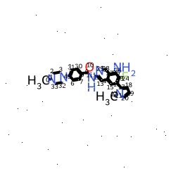 CN1CCN(c2ccc(C(=O)Nc3cc4cc(-c5cccn5C)c(F)c(N)c4cn3)cc2)CC1